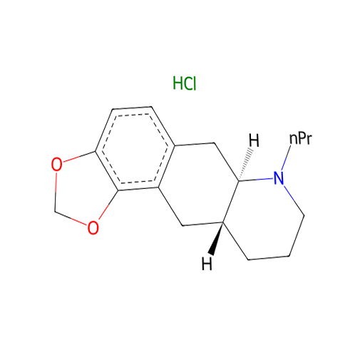 CCCN1CCC[C@@H]2Cc3c(ccc4c3OCO4)C[C@H]21.Cl